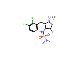 CN(C)S(=O)(=O)NC1C(F)CN(C(=O)O)C1Cc1cccc(Cl)c1F